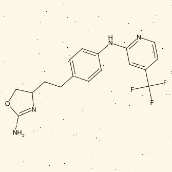 NC1=NC(CCc2ccc(Nc3cc(C(F)(F)F)ccn3)cc2)CO1